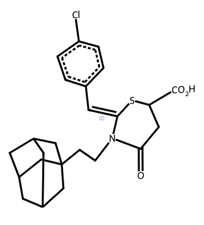 O=C(O)C1CC(=O)N(CCC23CC4CC(CC(C4)C2)C3)/C(=C/c2ccc(Cl)cc2)S1